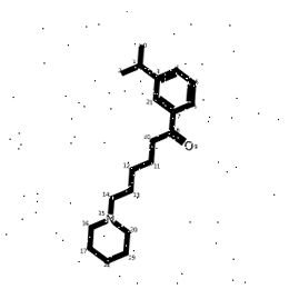 CC(C)c1cccc(C(=O)CCCCCN2CC[CH]CC2)c1